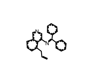 C=CCc1cccc2cncc(N=C(c3ccccc3)c3ccccc3)c12